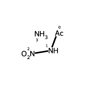 CC(=O)N[N+](=O)[O-].N